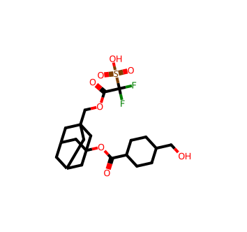 O=C(OC12CC3CC(CC(COC(=O)C(F)(F)S(=O)(=O)O)(C3)C1)C2)C1CCC(CO)CC1